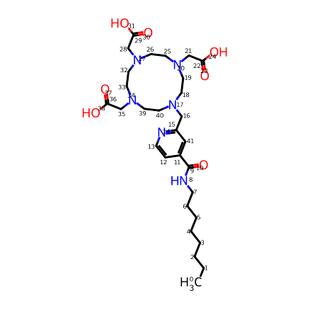 CCCCCCCCNC(=O)c1ccnc(CN2CCN(CC(=O)O)CCN(CC(=O)O)CCN(CC(=O)O)CC2)c1